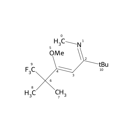 C/N=C(\C=C(/OC)C(C)(C)C(F)(F)F)C(C)(C)C